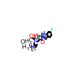 CCN(C)C1(CN(/C=C(\C)C(=O)NCc2ccc(F)cc2F)/C(C=O)=C(/O)C=O)CC1